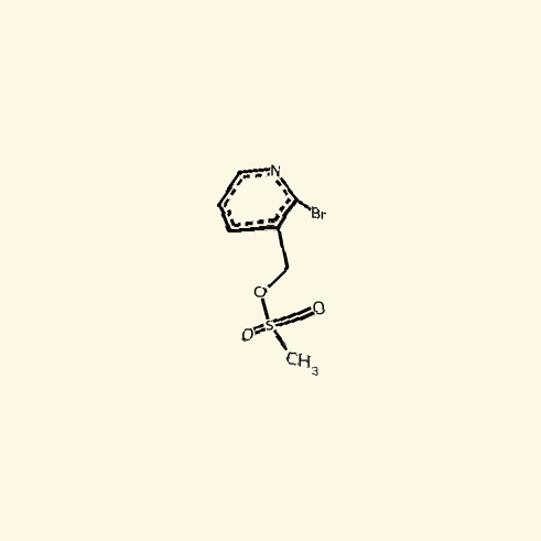 CS(=O)(=O)OCc1cccnc1Br